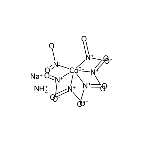 O=[N+]([O-])[Co-3]([N+](=O)[O-])([N+](=O)[O-])([N+](=O)[O-])([N+](=O)[O-])[N+](=O)[O-].[NH4+].[Na+]